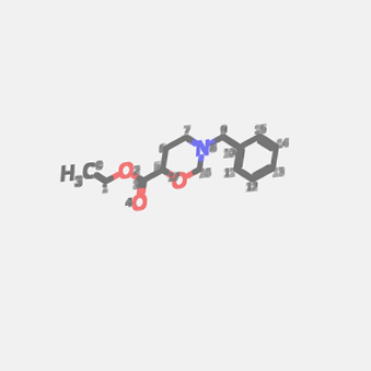 CCOC(=O)C1CCN(Cc2ccccc2)CO1